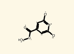 NOC(=O)c1cc(Cl)nc(Cl)c1